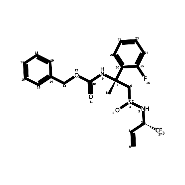 C=C[C@H](N[S+]([O-])C[C@](C)(NC(=O)OCc1ccccc1)c1ccccc1F)C(F)(F)F